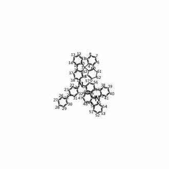 C1=CC(C2(c3ccccc3)c3ccccc3-c3ccc(N(c4ccc(-c5ccccc5)cc4)c4ccc(-c5ccccc5-n5c6ccccc6c6ccccc65)cc4)cc32)=CCC1